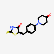 O=C1CCN(c2ccc(/C=C3/SC(=S)NC3=O)cc2)CC1